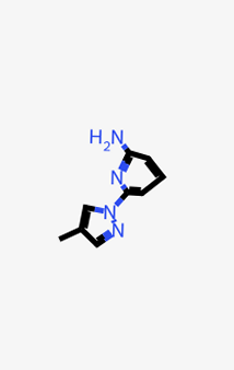 Cc1cnn(-c2cccc(N)n2)c1